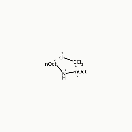 CCCCCCCCNCCCCCCCC.ClC(Cl)(Cl)Cl